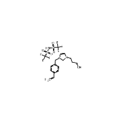 C=Cc1ccc(CN2C=CN(CCCC)C2)cc1.O=S(=O)(NS(=O)(=O)C(F)(F)F)C(F)(F)F